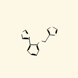 c1ccc(-c2cscn2)c(OCc2c[nH]cn2)c1